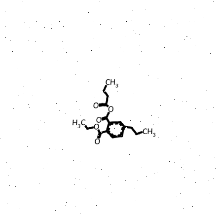 CCCC(=O)OC(=O)c1cc(CCC)ccc1C(=O)OCC